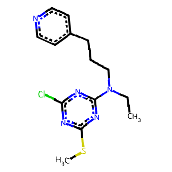 CCN(CCCc1ccncc1)c1nc(Cl)nc(SC)n1